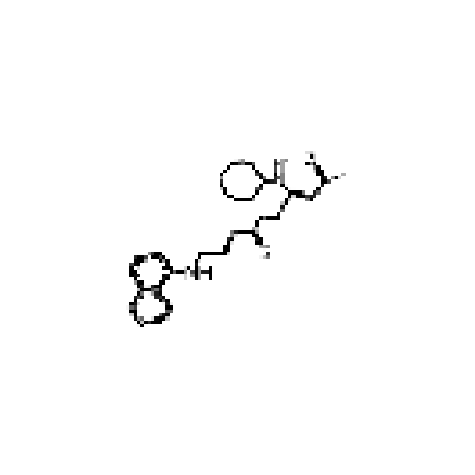 CC(=S)C=C(CCC(=S)C=CCNc1cccc2ccccc12)NC1CCCCC1